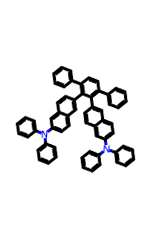 c1ccc(-c2ccc(-c3ccccc3)c(-c3ccc4cc(N(c5ccccc5)c5ccccc5)ccc4c3)c2-c2ccc3cc(N(c4ccccc4)c4ccccc4)ccc3c2)cc1